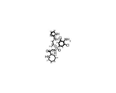 Nc1c(Cl)cc(S(=O)(=O)N[C@@H](CCCNc2ncc[nH]2)C(=O)C2CCCCCN2)cc1Cl